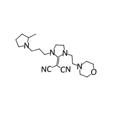 CC1CCCN1CCCN1CCN(CCN2CCOCC2)C1=C(C#N)C#N